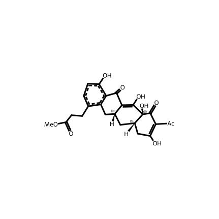 COC(=O)CCc1ccc(O)c2c1C[C@H]1C[C@H]3CC(O)=C(C(C)=O)C(=O)[C@@]3(O)C(O)=C1C2=O